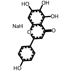 O=c1cc(-c2ccc(O)cc2)oc2cc(O)c(O)c(O)c12.[NaH]